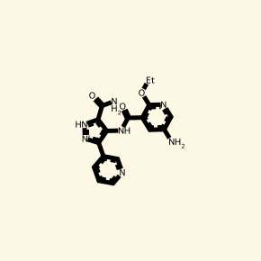 CCOc1ncc(N)cc1C(=O)Nc1c(-c2cccnc2)n[nH]c1C(N)=O